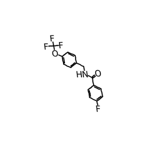 O=C(NCc1ccc(OC(F)(F)F)cc1)c1ccc(F)cc1